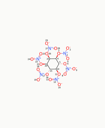 O=[N+]([O-])O[C@H]1[C@H](O[N+](=O)[O-])[C@@H](O[N+](=O)[O-])[C@H](O[N+](=O)[O-])[C@@H](O[N+](=O)[O-])[C@H]1O[N+](=O)[O-]